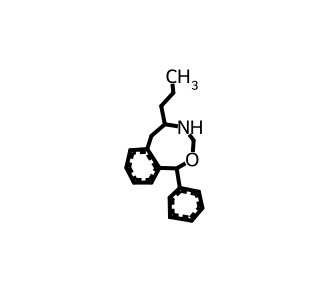 CCCC1Cc2ccccc2C(c2ccccc2)OCN1